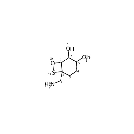 NCC12CCC(O)C(O)C1OS2